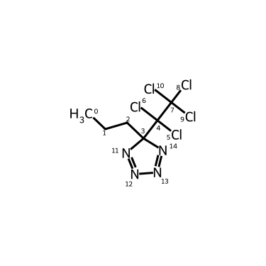 CCCC1(C(Cl)(Cl)C(Cl)(Cl)Cl)N=NN=N1